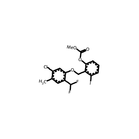 COC(=O)Oc1cccc(I)c1COc1cc(Cl)c(C)cc1C(F)F